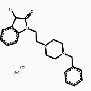 Cl.Cl.O=C1C(Br)c2ccccc2N1CCN1CCN(Cc2ccccc2)CC1